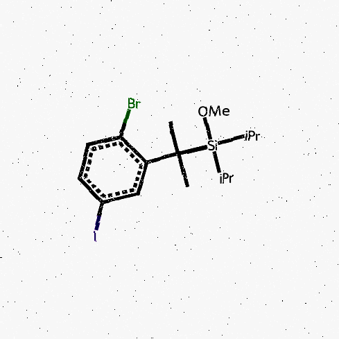 CO[Si](C(C)C)(C(C)C)C(C)(C)c1cc(I)ccc1Br